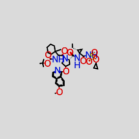 CC[C@@H]1C[C@]1(NC(=O)[C@@H]1CC(Oc2nccc3cc(OC)ccc23)CN1C(=O)[C@@H](NC(=O)OC(C)(C)C)C1(C)CCCCC1)C(=O)NS(=O)(=O)OC1CC1